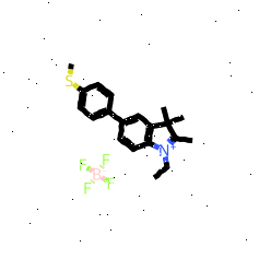 CC[N+]1=C(C)C(C)(C)c2cc(-c3ccc(SC)cc3)ccc21.F[B-](F)(F)F